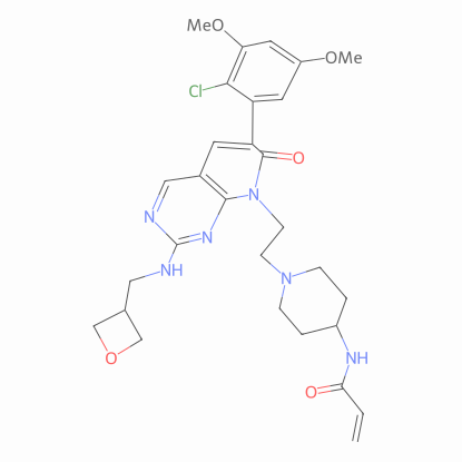 C=CC(=O)NC1CCN(CCn2c(=O)c(-c3cc(OC)cc(OC)c3Cl)cc3cnc(NCC4COC4)nc32)CC1